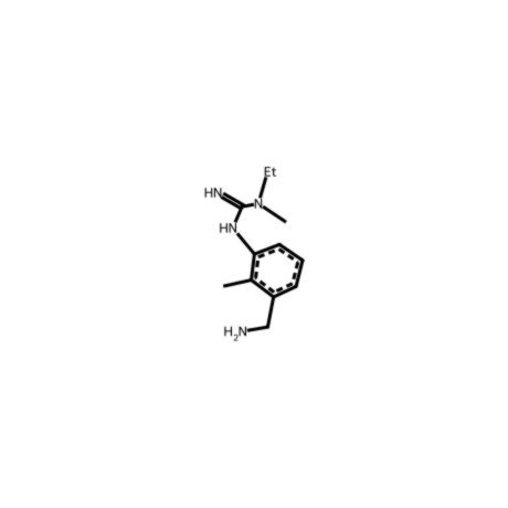 CCN(C)C(=N)Nc1cccc(CN)c1C